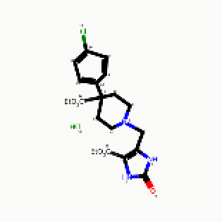 CCOC(=O)c1[nH]c(=O)[nH]c1CN1CCC(C(=O)OCC)(c2ccc(Cl)cc2)CC1.Cl